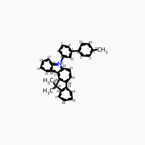 Cc1ccc(-c2cccc(-n3c4ccccc4c4c5c(ccc43)-c3ccccc3C5(C)C)c2)cc1